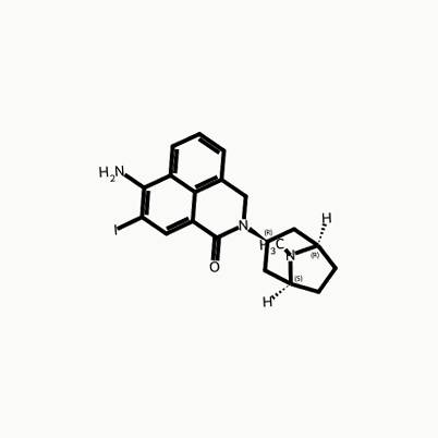 CN1[C@@H]2CC[C@H]1C[C@@H](N1Cc3cccc4c(N)c(I)cc(c34)C1=O)C2